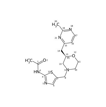 CC(=O)Nc1ncc(CN2CCO[C@H](Cc3ccnc(C)n3)C2)s1